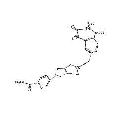 CCn1c(=O)[nH]c2cc(CN3CC4CN(c5ccc(C(=O)NC)nc5)CC4C3)ccc2c1=O